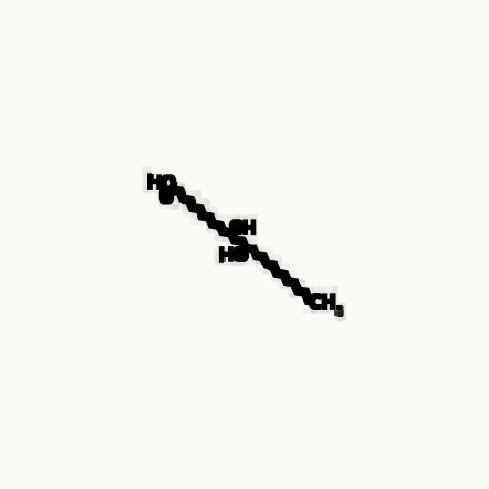 CCCCCCCCCCCCCC(O)CCC(O)CCCCCCCCCCC(=O)O